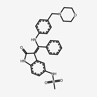 CS(=O)(=O)Nc1ccc2c(c1)/C(=C(/Nc1ccc(CN3CCOCC3)cc1)c1ccccc1)C(=O)N2